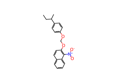 CCC(C)c1ccc(OCOc2ccc3ccccc3c2[N+](=O)[O-])cc1